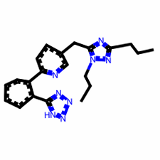 CCCc1nc(Cc2ccc(-c3ccccc3-c3nnn[nH]3)nc2)n(CCC)n1